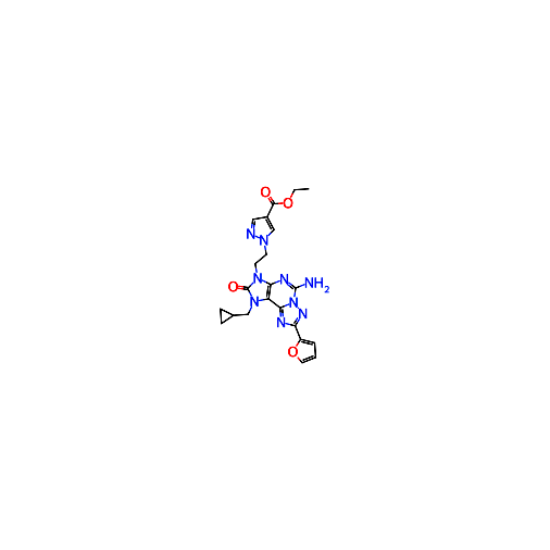 CCOC(=O)c1cnn(CCn2c(=O)n(CC3CC3)c3c2nc(N)n2nc(-c4ccco4)nc32)c1